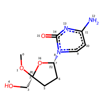 CO[C@]1(CO)CC[C@@H](n2ccc(N)nc2=O)O1